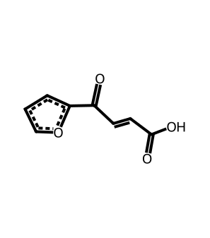 O=C(O)/C=C/C(=O)c1ccco1